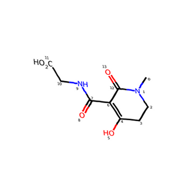 CN1CCC(O)=C(C(=O)NCC(=O)O)C1=O